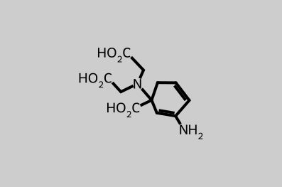 NC1=CC(C(=O)O)(N(CC(=O)O)CC(=O)O)CC=C1